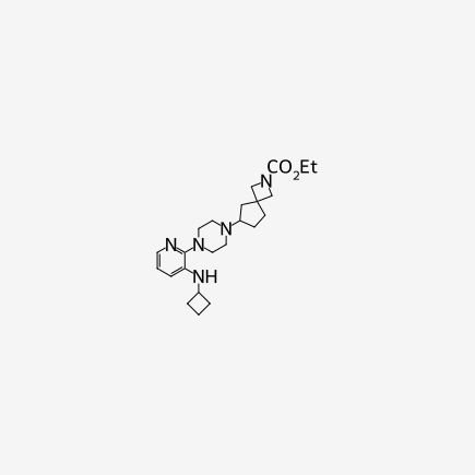 CCOC(=O)N1CC2(CCC(N3CCN(c4ncccc4NC4CCC4)CC3)C2)C1